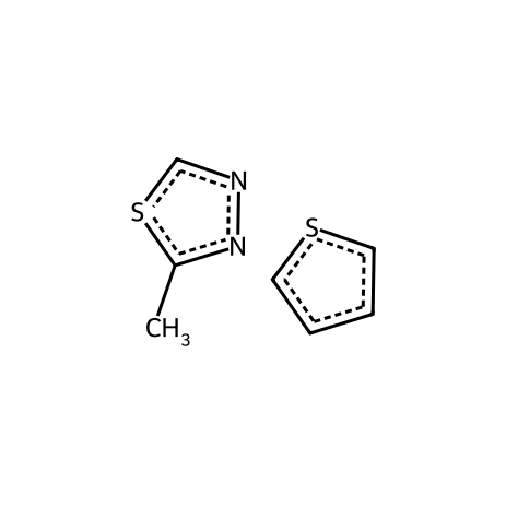 Cc1nncs1.c1ccsc1